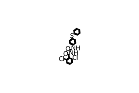 O=C(NC(=O)c1c(Cl)cccc1Cl)Nc1ccc(Sc2ccccc2)cc1